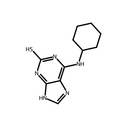 Sc1nc(NC2CCCCC2)c2nc[nH]c2n1